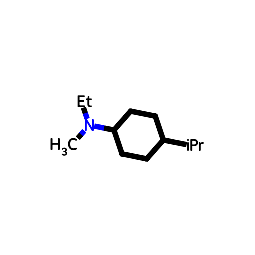 CCN(C)C1CCC(C(C)C)CC1